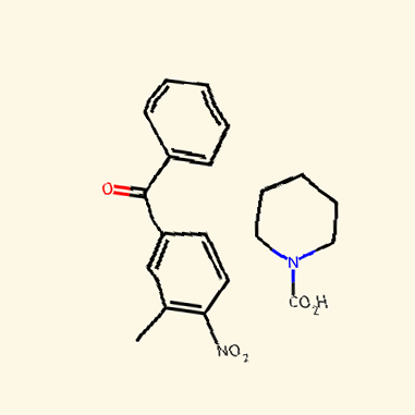 Cc1cc(C(=O)c2ccccc2)ccc1[N+](=O)[O-].O=C(O)N1CCCCC1